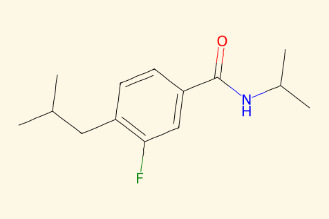 CC(C)Cc1ccc(C(=O)NC(C)C)cc1F